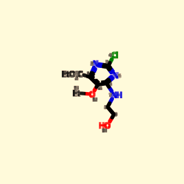 CCOC(=O)c1nc(Cl)nc(NCCO)c1OCC